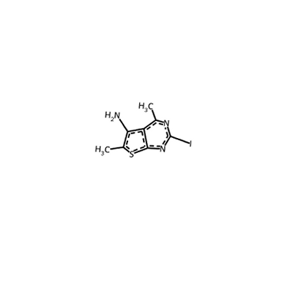 Cc1sc2nc(I)nc(C)c2c1N